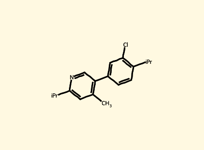 Cc1cc(C(C)C)ncc1-c1ccc(C(C)C)c(Cl)c1